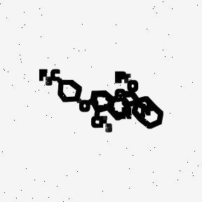 CC(C)OC(=O)C1CC2CCCC(C1)N2Cc1cc2ccc(O[C@H]3CC[C@@H](C(F)(F)F)CC3)c(C(F)(F)F)c2cn1